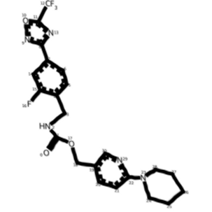 O=C(NCc1ccc(-c2noc(C(F)(F)F)n2)cc1F)OCc1ccc(N2CCCCC2)nc1